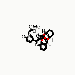 COC(=O)Cn1cc(-c2nc3ccccc3n([C@H]3C[C@H]4CCC[C@@H](C3)N4[C@]34C[C@H]5CCC3[C@H](C5)C4)c2=O)ccc1=O